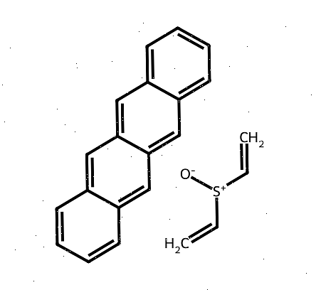 C=C[S+]([O-])C=C.c1ccc2cc3cc4ccccc4cc3cc2c1